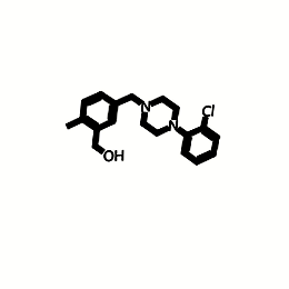 Cc1ccc(CN2CCN(c3ccccc3Cl)CC2)cc1CO